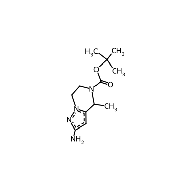 CC1c2cc(N)nn2CCN1C(=O)OC(C)(C)C